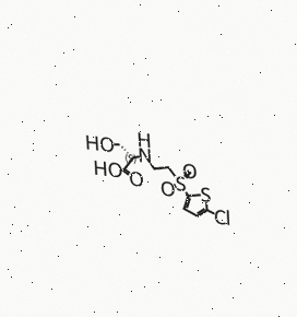 O=C(O)[C@H](CO)NCCS(=O)(=O)c1ccc(Cl)s1